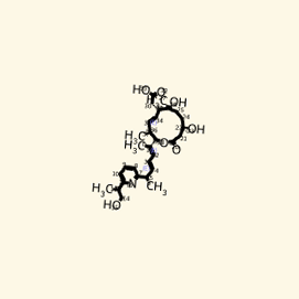 C/C(=C\C=C\C(C)c1cccc([C@H](C)CO)n1)[C@H]1OC(=O)C[C@H](O)CC[C@@](C)(O)[C@@H](CC(=O)O)/C=C/[C@@H]1C